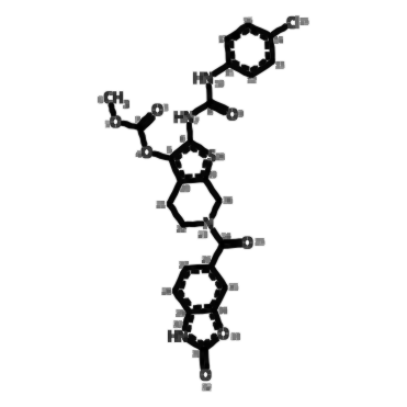 COC(=O)Oc1c(NC(=O)Nc2ccc(Cl)cc2)sc2c1CCN(C(=O)c1ccc3[nH]c(=O)oc3c1)C2